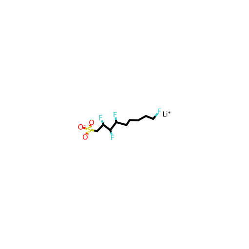 O=S(=O)([O-])CC(F)C(F)C(F)CCCCCF.[Li+]